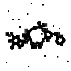 Nc1nc2c(ncn2[C@@H]2O[C@@H]3CO[P@@](=O)(S)O[C@H]4C[C@H](Nc5ccncn5)C[C@@H]4CO[P@@](=O)(S)O[C@@H]2[C@@H]3O)c(=O)[nH]1